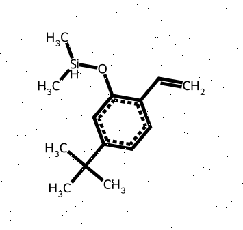 C=Cc1ccc(C(C)(C)C)cc1O[SiH](C)C